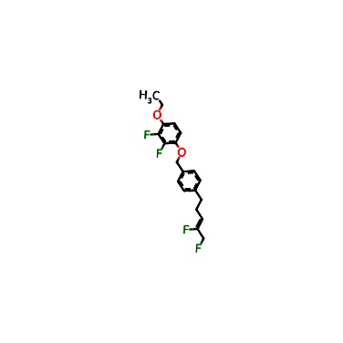 CCOc1ccc(OCc2ccc(CC/C=C(\F)CF)cc2)c(F)c1F